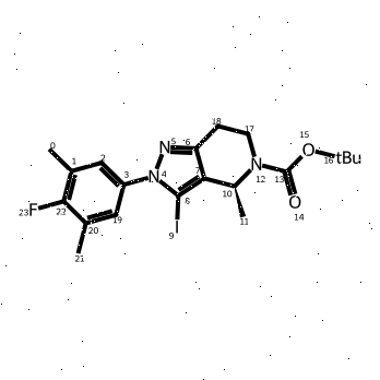 Cc1cc(-n2nc3c(c2I)[C@H](C)N(C(=O)OC(C)(C)C)CC3)cc(C)c1F